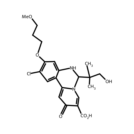 COCCCOc1cc2c(cc1Cl)-c1cc(=O)c(C(=O)O)cn1C(C(C)(C)CO)N2